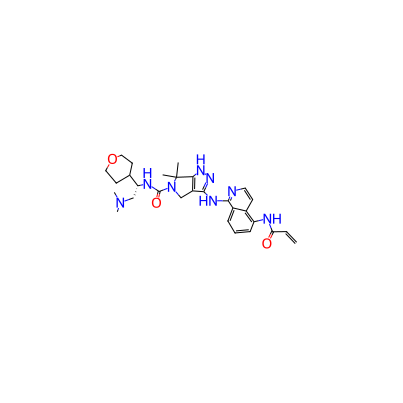 C=CC(=O)Nc1cccc2c(Nc3n[nH]c4c3CN(C(=O)N[C@H](CN(C)C)C3CCOCC3)C4(C)C)nccc12